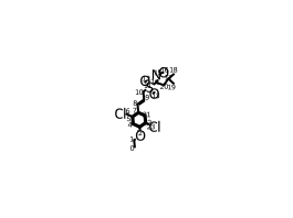 CCOc1cc(Cl)c(/C=C/CS(=O)(=O)C2=NOC(C)(C)C2)cc1Cl